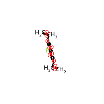 C=CC(=O)OC(C)CCCOc1ccc(C(=O)Oc2ccc(OC(=O)c3ccc(OCCCC(C)OC(=O)C=C)cc3)c(F)c2)cc1